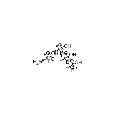 O=S(=O)(O)C(F)(F)F.O=S(=O)(O)C(F)(F)F.O=S(=O)(O)C(F)(F)F.O=S(=O)(O)C(F)(F)F.[SiH4]